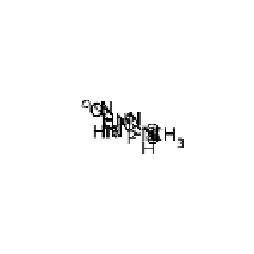 CS(=O)(=O)NCc1cc(F)cc(-c2nccc3[nH]c(-c4n[nH]c5ccc(-c6cncc(OCc7ccccc7)c6)cc45)nc23)c1